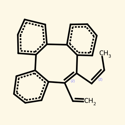 C=C/C1=C(\C=C/C)c2ccccc2-c2ccccc2-c2ccccc21